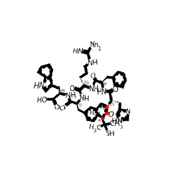 CC(C)(S)[C@H](N)C(=O)N[C@@H](Cc1c[nH]cn1)C(=O)N[C@H](Cc1ccccc1)C(=O)N[C@@H](CCCNC(=N)N)C(=O)N[C@@H](Cc1ccc2ccccc2c1)C(=O)N[C@H](Cc1c[nH]c2ccccc12)C(=O)O